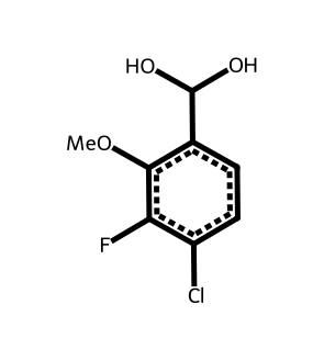 COc1c(C(O)O)ccc(Cl)c1F